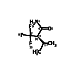 CC(C)[C@H](C(N)=O)C(F)(F)F